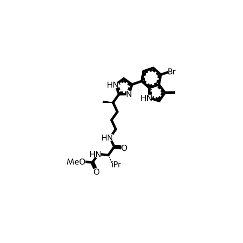 COC(=O)N[C@H](C(=O)NCCC[C@@H](C)c1nc(-c2ccc(Br)c3c(C)c[nH]c23)c[nH]1)C(C)C